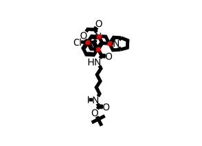 CC(C)(C)OC(=O)N(I)CCCCCNC(=O)c1cc(Cl)ccc1C1=CC2CCC(C1)N2CCN1C(=O)COc2ccccc21